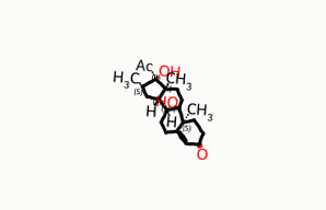 CC(=O)[C@@]1(O)[C@@H](C)C[C@H]2[C@@H]3CCC4=CC(=O)CC[C@]4(C)[C@@]3(O)CC[C@@]21C